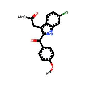 COC(=O)Cc1c(C(=O)c2ccc(OC(C)C)cc2)[nH]c2cc(Cl)ccc12